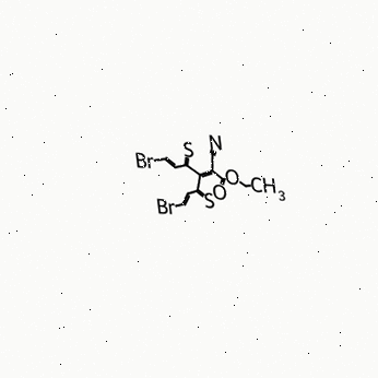 CCOC(=O)C(C#N)=C(C(=S)C=CBr)C(=S)C=CBr